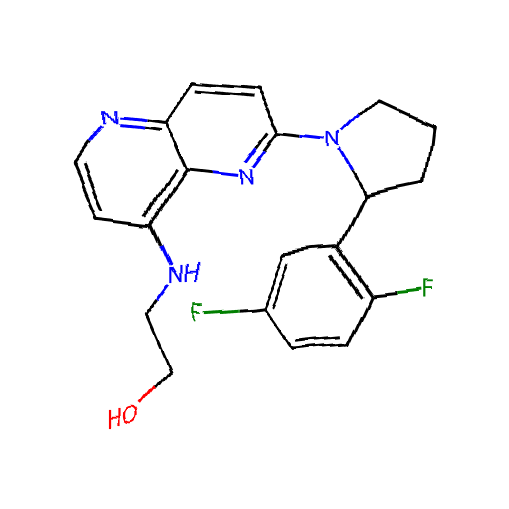 OCCNc1ccnc2ccc(N3CCCC3c3cc(F)ccc3F)nc12